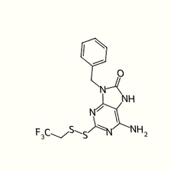 Nc1nc(SSCC(F)(F)F)nc2c1[nH]c(=O)n2Cc1ccccc1